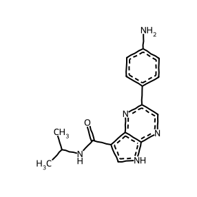 CC(C)NC(=O)c1c[nH]c2ncc(-c3ccc(N)cc3)nc12